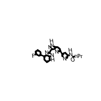 CCCC(=O)Nc1cncc(-c2ccc3[nH]nc(-c4nc5c(-c6cccc(F)c6)cccc5[nH]4)c3n2)c1